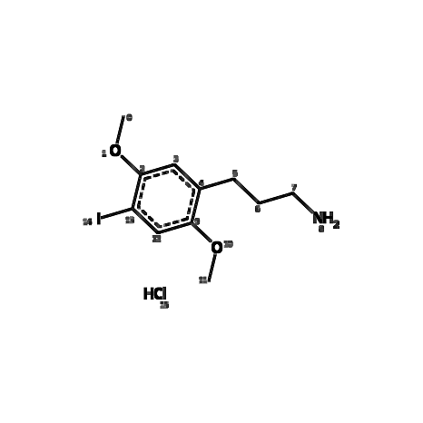 COc1cc(CCCN)c(OC)cc1I.Cl